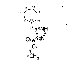 CCOC(=O)c1nc[nH]c1CC1CCCCCC1